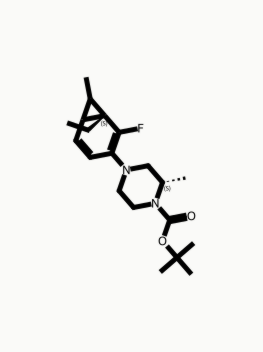 CC[C@@]12C(F)=C(N3CCN(C(=O)OC(C)(C)C)[C@@H](C)C3)C=CC1C2C